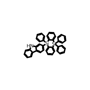 c1ccc([Si]2(c3ccccc3)c3ccccc3[Si](c3ccccc3)(c3ccc4c(c3)[nH]c3ccccc34)c3ccccc32)cc1